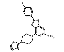 Nc1nc(N2CCN(c3nccs3)CC2)c2nc(-c3ccc(F)cc3)sc2n1